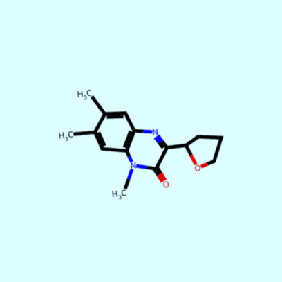 Cc1cc2nc(C3CCCO3)c(=O)n(C)c2cc1C